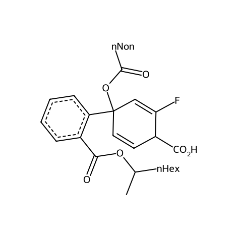 CCCCCCCCCC(=O)OC1(c2ccccc2C(=O)OC(C)CCCCCC)C=CC(C(=O)O)C(F)=C1